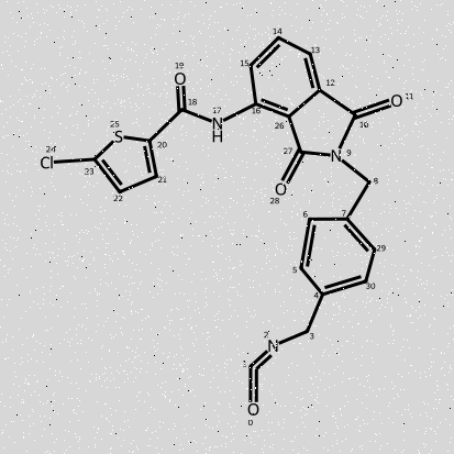 O=C=NCc1ccc(CN2C(=O)c3cccc(NC(=O)c4ccc(Cl)s4)c3C2=O)cc1